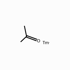 CC(C)=O.[Tm]